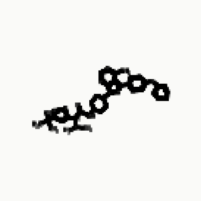 CN(C)[C@H](C(=O)NC1CCC(n2nc(-c3ccc(Oc4ccccc4)cc3)c3c(N)ncnc32)CC1)c1cc(C(C)(C)C)on1